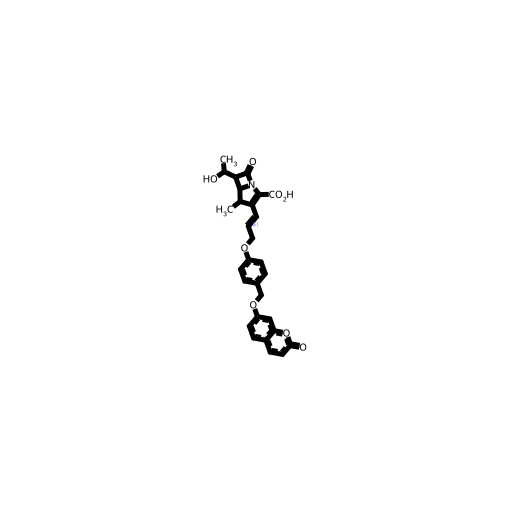 CC(O)C1C(=O)N2C(C(=O)O)=C(/C=C/COc3ccc(COc4ccc5ccc(=O)oc5c4)cc3)C(C)C12